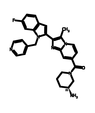 Cc1c(-c2cc3ccc(F)cc3n2Cc2ccncc2)nc2cc(C(=O)N3CCC[C@@H](N)C3)ccn12